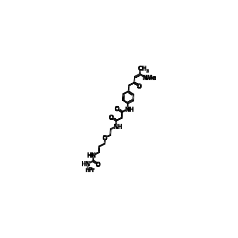 CCCNC(=O)NCCCOCCNC(=O)CC(=O)Nc1ccc(CC(=O)/C=C(/C)NC)cc1